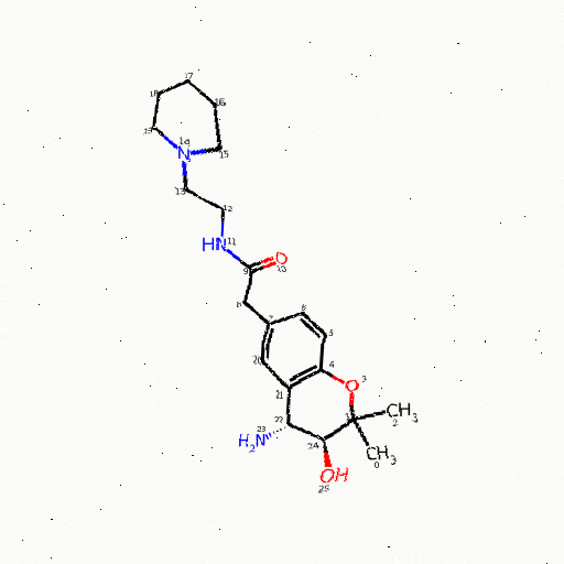 CC1(C)Oc2ccc(CC(=O)NCCN3CCCCC3)cc2[C@@H](N)[C@@H]1O